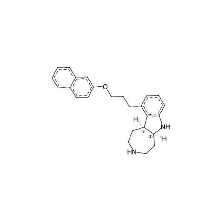 c1cc(CCCOc2ccc3ccccc3c2)c2c(c1)N[C@H]1CCNCC[C@@H]21